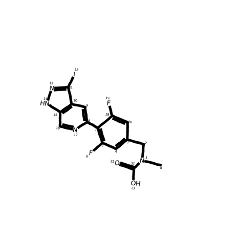 CN(Cc1cc(F)c(-c2cc3c(I)n[nH]c3cn2)c(F)c1)C(=O)O